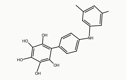 Cc1cc(C)cc(Nc2ccc(-c3c(O)c(O)c(O)c(O)c3O)cc2)c1